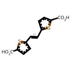 O=C(O)c1ccc(/C=C/c2ccc(C(=O)O)s2)s1